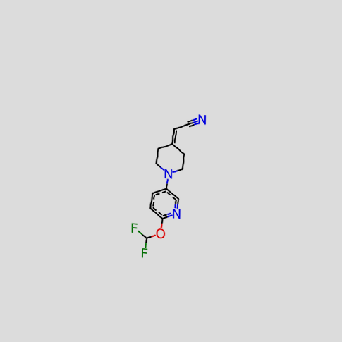 N#CC=C1CCN(c2ccc(OC(F)F)nc2)CC1